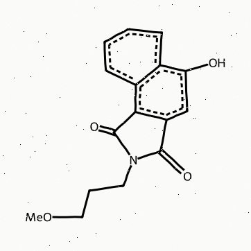 COCCCN1C(=O)c2cc(O)c3ccccc3c2C1=O